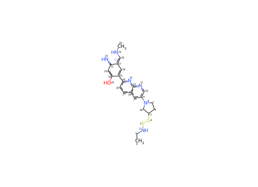 CCNSSC1CCN(c2cnc3nc(C4=C/C(=C/NC)C(=N)C=C4O)ccc3c2)C1